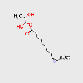 CCCCCCCC/C=C\CCCCCCCC(=O)OC(O)C(C)O